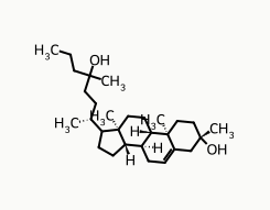 CCCC(C)(O)CC[C@@H](C)C1CC[C@H]2[C@@H]3CC=C4C[C@@](C)(O)CC[C@]4(C)[C@H]3CC[C@]12C